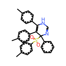 Cc1ccc(C2=C(c3ccc(C)cc3)C(c3ccccc3)(S(=O)(=O)c3ccc(C)cc3)N=CN2)cc1